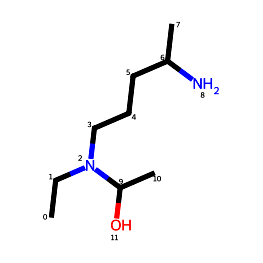 CCN(CCCC(C)N)C(C)O